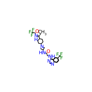 CC[C@H](NC(=O)C(F)(F)F)C1CCC(N2CC(NC(=O)CNc3ncnc4ccc(C(F)(F)F)cc34)C2)CC1